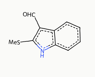 CSc1[nH]c2ccccc2c1C=O